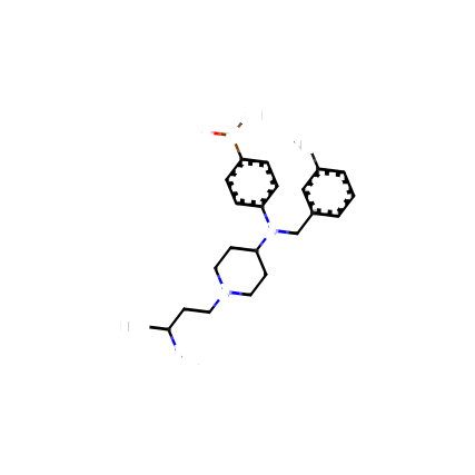 CC(N)CCN1CCC(N(Cc2cccc(C#N)c2)c2ccc([S+](C)[O-])cc2)CC1